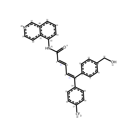 O=C(/C=C/C=C(\c1ccc(CO)cc1)c1ccc(C(F)(F)F)cc1)Nc1cccc2cnccc12